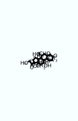 C[C@]12C=CC(=O)C=C1CC[C@@H]1[C@@H]2[C@@H](O)C[C@@]2(C)[C@H]1CC[C@]2(O)C(=O)CO.O=CO